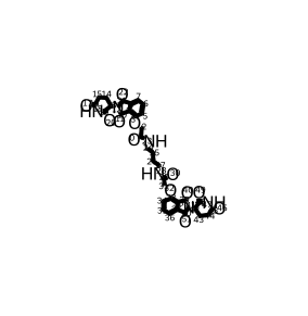 O=C(COc1cccc2c1C(=O)N(C1CCC(=O)NC1=O)C2=O)NCCCCNC(=O)COc1cccc2c1C(=O)N(C1CCC(=O)NC1=O)C2=O